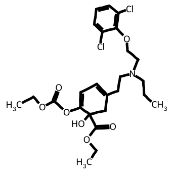 CCCN(CCOc1c(Cl)cccc1Cl)CCC1=CC=C(OC(=O)OCC)C(O)(C(=O)OCC)C1